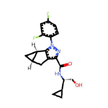 O=C(N[C@H](CO)C1CC1)c1nn(-c2ccc(F)cc2F)c2c1C[C@H]1C[C@@H]21